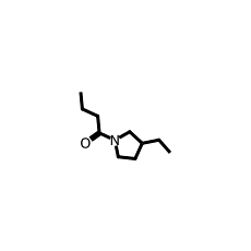 CCCC(=O)N1CCC(CC)C1